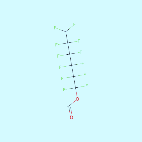 O=[C]OC(F)(F)C(F)(F)C(F)(F)C(F)(F)C(F)(F)C(F)F